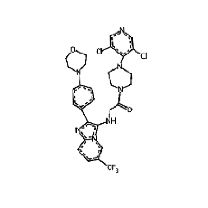 O=C(CNc1c(-c2ccc(N3CCOCC3)cc2)nc2ccc(C(F)(F)F)cn12)N1CCN(c2c(Cl)cncc2Cl)CC1